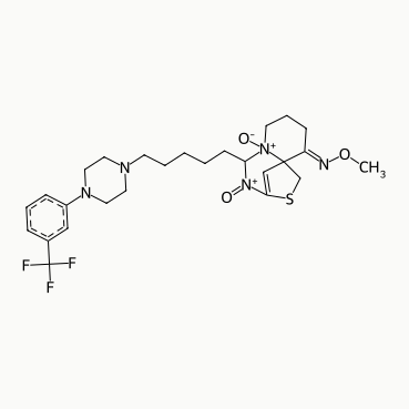 CON=C1CCC[N+]2([O-])C(CCCCCN3CCN(c4cccc(C(F)(F)F)c4)CC3)[N+](=O)C3=CC12CS3